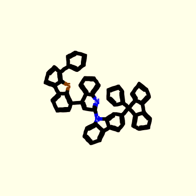 c1ccc(-c2cccc3c2sc2c(-c4cc(-n5c6ccccc6c6ccc(C7(c8ccccc8)c8ccccc8-c8ccccc87)cc65)nc5ccccc45)cccc23)cc1